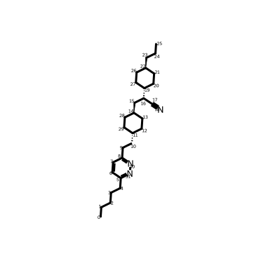 CCCCCc1ccc(CC[C@H]2CC[C@H](CC(C#N)[C@H]3CC[C@H](CCC)CC3)CC2)nn1